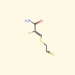 NC(=O)C(F)=CSCC=S